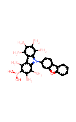 Bc1c(B)c(B)c2c(c1B)c1c(B)c(B(O)O)c(B)c(B)c1n2-c1ccc2c(c1)oc1ccccc12